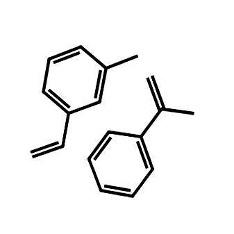 C=C(C)c1ccccc1.C=Cc1cccc(C)c1